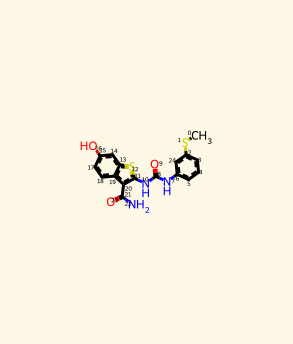 CSc1cccc(NC(=O)Nc2sc3cc(O)ccc3c2C(N)=O)c1